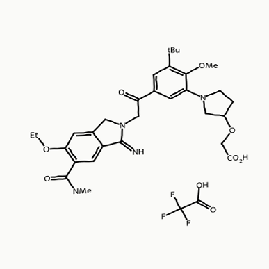 CCOc1cc2c(cc1C(=O)NC)C(=N)N(CC(=O)c1cc(N3CCC(OCC(=O)O)C3)c(OC)c(C(C)(C)C)c1)C2.O=C(O)C(F)(F)F